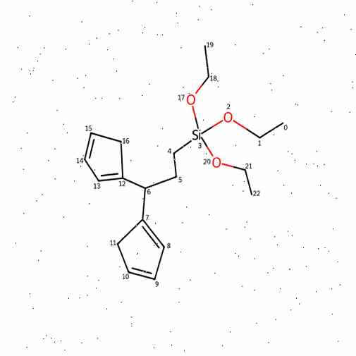 CCO[Si](CCC(C1=CC=CC1)C1=CC=CC1)(OCC)OCC